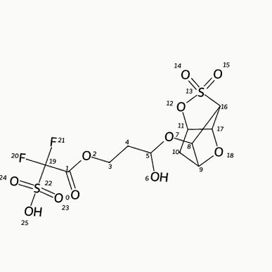 O=C(OCCC(O)OC1C2CC3OS(=O)(=O)C1C3O2)C(F)(F)S(=O)(=O)O